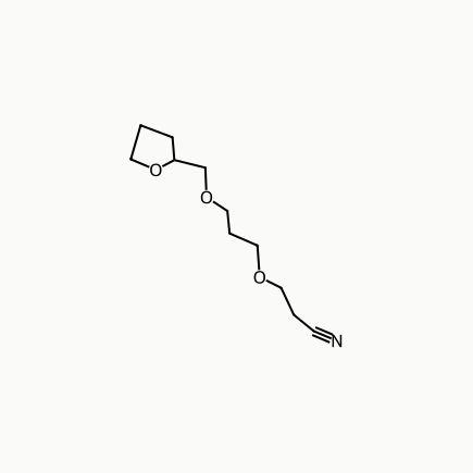 N#CCCOCCCOCC1CCCO1